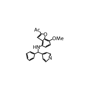 COc1ccc(NC(c2ccccc2)c2ccncc2)c2cc(C(C)=O)oc12